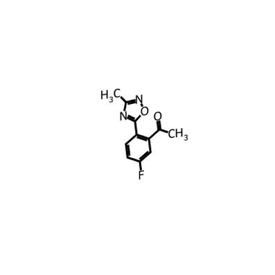 CC(=O)c1cc(F)ccc1-c1nc(C)no1